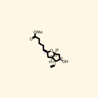 C=C[C@@H]1[C@H]2C/C(=C/CCCC(=O)OC)O[C@H]2C[C@H]1O